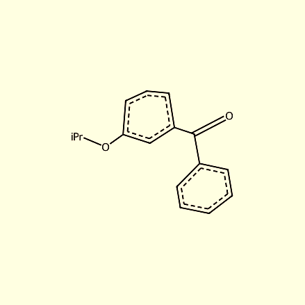 CC(C)Oc1cccc(C(=O)c2ccccc2)c1